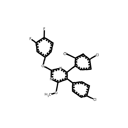 COc1nc(Oc2ccc(F)c(F)c2)nc(-c2ccc(Cl)cc2Cl)c1-c1ccc(Cl)cc1